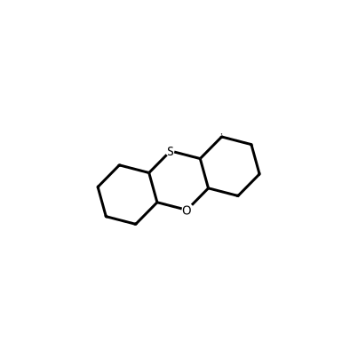 [CH]1CCCC2OC3CCCCC3SC12